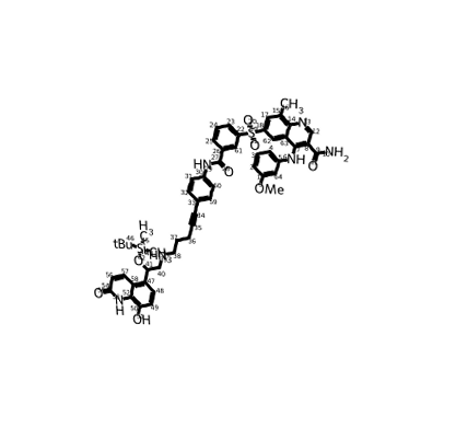 COc1cccc(Nc2c(C(N)=O)cnc3c(C)cc(S(=O)(=O)c4cccc(C(=O)Nc5ccc(C#CCCCNCC(O[Si](C)(C)C(C)(C)C)c6ccc(O)c7[nH]c(=O)ccc67)cc5)c4)cc23)c1